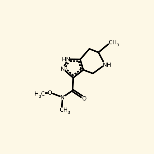 CON(C)C(=O)c1n[nH]c2c1CNC(C)C2